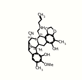 C=CCNC[C@H]1c2c(c(O)c(C)c3c2OCO3)CC2[C@H]3c4c(cc(C)c(OC)c4O)C4C([C@H](C#N)N21)N43